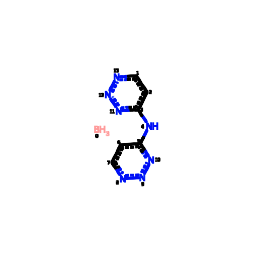 B.c1cc(Nc2ccnnn2)nnn1